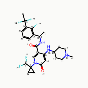 C[C@@H](NC(=O)c1cn(C2(C(F)F)CC2)c(=O)cc1NC1CCN(C)CC1)c1cccc(C(C)(F)F)c1F